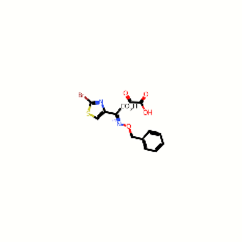 O=C(O)/C(=N\OCc1ccccc1)c1csc(Br)n1.O=CC(=O)O